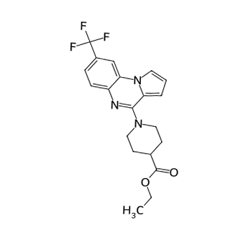 CCOC(=O)C1CCN(c2nc3ccc(C(F)(F)F)cc3n3cccc23)CC1